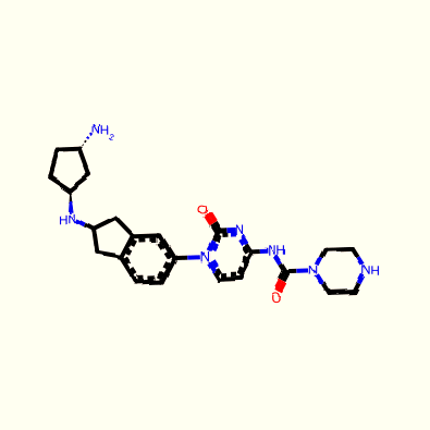 N[C@H]1CC[C@H](NC2Cc3ccc(-n4ccc(NC(=O)N5CCNCC5)nc4=O)cc3C2)C1